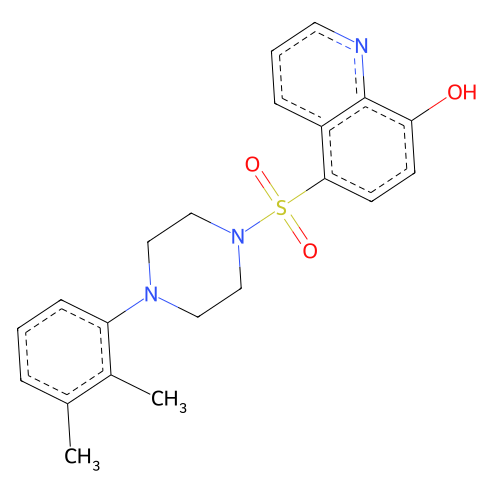 Cc1cccc(N2CCN(S(=O)(=O)c3ccc(O)c4ncccc34)CC2)c1C